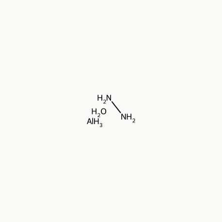 NN.O.[AlH3]